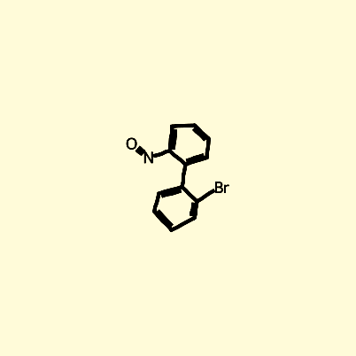 O=Nc1ccccc1-c1ccccc1Br